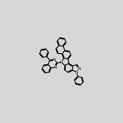 c1ccc(-c2nc(-n3c4ccc5c(cnn5-c5ccccc5)c4c4ccc5c6ccccc6ccc5c43)nc3ccccc23)cc1